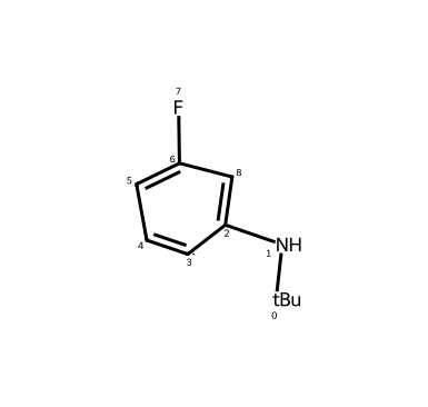 CC(C)(C)Nc1[c]ccc(F)c1